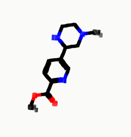 COC(=O)c1ccc(C2CN(C)CCN2)cn1